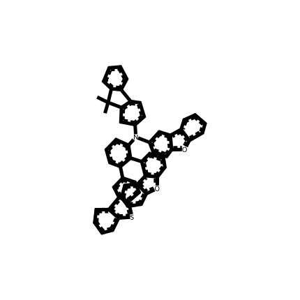 CC1(C)c2ccccc2-c2ccc(N(c3ccc4oc5ccccc5c4c3)c3cccc(-c4ccc5sc6ccccc6c5c4)c3-c3cccc4oc5ccccc5c34)cc21